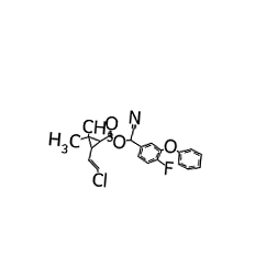 CC1(C)C(C=CCl)C1C(=O)OC(C#N)c1ccc(F)c(Oc2ccccc2)c1